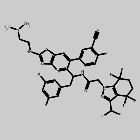 CN(C)CCNc1nc2nc(C(Cc3cc(F)cc(F)c3)NC(=O)Cn3nc(C(F)F)c4c3C(F)(F)CCC4(F)F)c(-c3ccc(F)c(C#N)c3)cc2s1